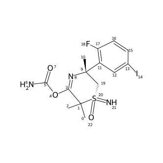 CC1(C)C(OC(N)=O)=N[C@](C)(c2cc(I)ccc2F)C[S@]1(=N)=O